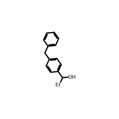 CCC(O)c1ccc(Cc2ccccc2)cc1